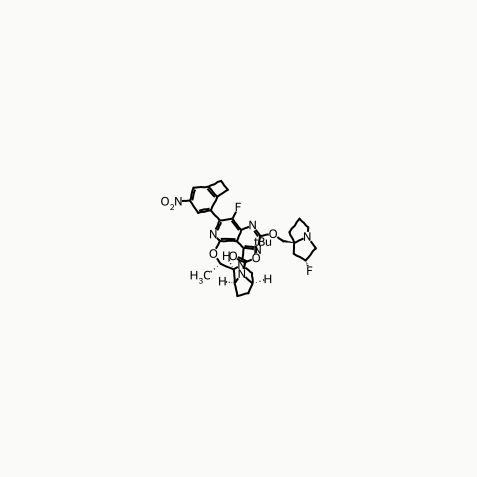 C[C@@H]1Oc2nc(-c3cc([N+](=O)[O-])cc4c3CC4)c(F)c3nc(OC[C@@]45CCCN4C[C@H](F)C5)nc(c23)N2C[C@H]3CC[C@@H]([C@@H]12)N3C(=O)OC(C)(C)C